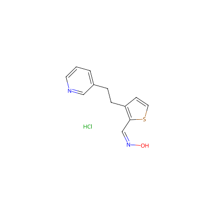 Cl.O/N=C\c1sccc1CCc1cccnc1